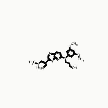 CN/C=C(\C=N)c1cnc2ccc(N(CCCO)c3cc(OC)cc(OC)c3)nc2n1